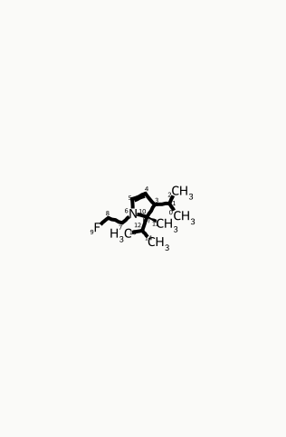 CC(C)C1C=CN(CCF)[C@@]1(C)C(C)C